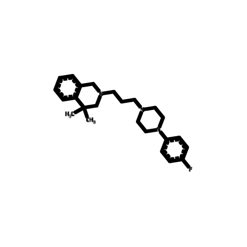 CC1(C)CN(CCCN2CCN(c3ccc(F)cc3)CC2)Cc2ccccc21